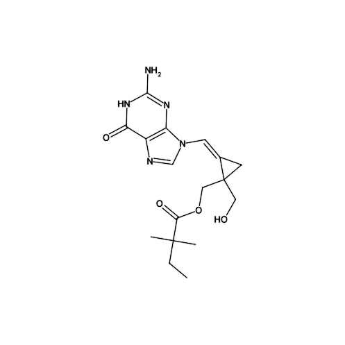 CCC(C)(C)C(=O)OCC1(CO)C/C1=C/n1cnc2c(=O)[nH]c(N)nc21